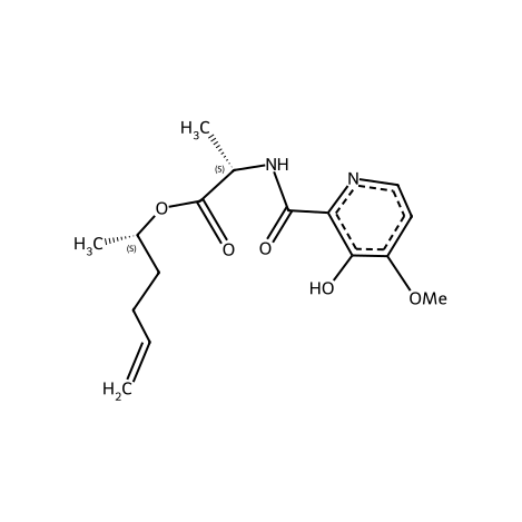 C=CCC[C@H](C)OC(=O)[C@H](C)NC(=O)c1nccc(OC)c1O